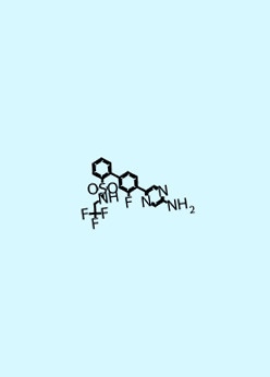 Nc1cnc(-c2ccc(-c3ccccc3S(=O)(=O)NCC(F)(F)F)cc2F)cn1